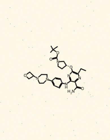 CCc1nc(C(N)=O)c(Nc2ccc(N3CCN(C4COC4)CC3)cc2)nc1O[C@@H]1CCN(C(=O)OC(C)(C)C)C1